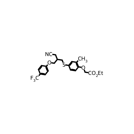 CCOC(=O)COc1ccc(SCC(CC#N)COc2ccc(C(F)(F)F)cc2)cc1C